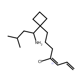 C=C/C=C(/Cl)CCCC1(C(N)CC(C)C)CCC1